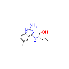 CCC[C@@H](CO)Nc1nc(N)nc2ccc(C)cc12